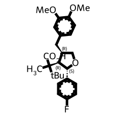 COc1ccc(C[C@H]2CO[C@H](c3ccc(F)cc3)[C@H]2C(C)(C(=O)O)C(C)(C)C)cc1OC